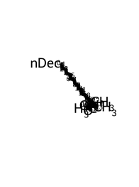 CCCCCCCCCCCCCCCCCCCCC=CCCCC(P(=O)=O)[N+](C)(C)C